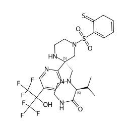 CC(C)[C@H]1C(=O)NCCN1C[C@@]1(c2ncc(C(O)(C(F)(F)F)C(F)(F)F)cn2)CN(S(=O)(=O)C2=CC=CCC2=S)CCN1